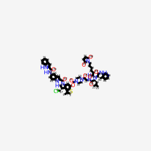 Cc1csc2c(OC(=O)N3CCN(C(=O)CNC(=O)[C@H](CC(C)C)N(C(=O)CCCCCN4C(=O)C=CC4=O)[C@@H](Cc4ccccc4)C(N)=O)CC3)cc3c(c12)[C@H](CCl)CN3C(=O)c1cc2cc(NC(=O)c3cc4ccccc4[nH]3)ccc2[nH]1